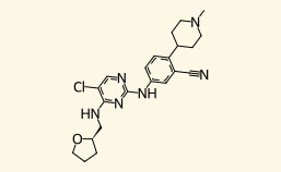 CN1CCC(c2ccc(Nc3ncc(Cl)c(NC[C@H]4CCCO4)n3)cc2C#N)CC1